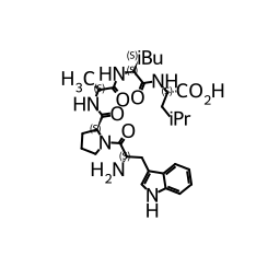 CC[C@H](C)[C@H](NC(=O)[C@H](C)NC(=O)[C@@H]1CCCN1C(=O)[C@@H](N)Cc1c[nH]c2ccccc12)C(=O)N[C@@H](CC(C)C)C(=O)O